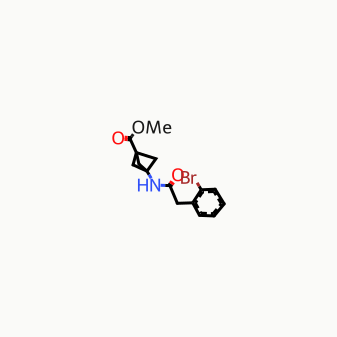 COC(=O)C12CC(NC(=O)Cc3ccccc3Br)(C1)C2